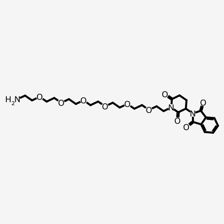 NCCOCCOCCOCCOCCOCCOCCN1C(=O)CCC(N2C(=O)c3ccccc3C2=O)C1=O